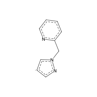 [c]1cnn(Cc2ccccn2)c1